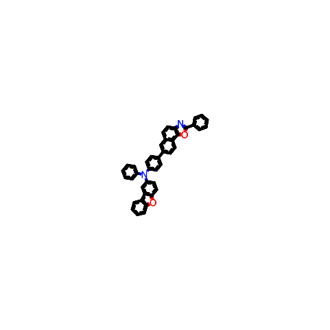 c1ccc(-c2nc3ccc4cc(-c5ccc(N(c6ccccc6)c6ccc7oc8ccccc8c7c6)cc5)ccc4c3o2)cc1